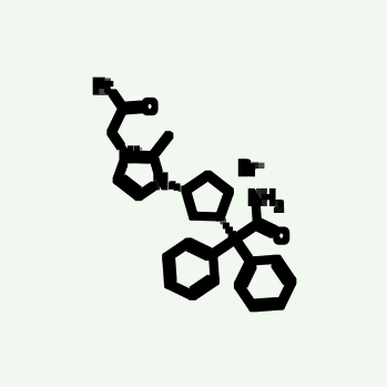 CCC(=O)C[n+]1ccn([C@@H]2CC[C@H](C(C(N)=O)(c3ccccc3)c3ccccc3)C2)c1C.[Br-]